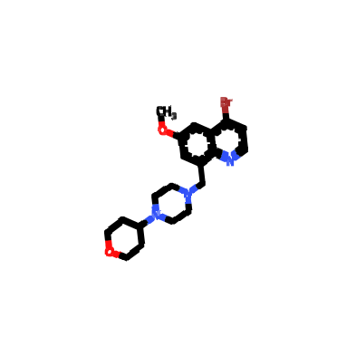 COc1cc(CN2CCN(C3CCOCC3)CC2)c2nccc(Br)c2c1